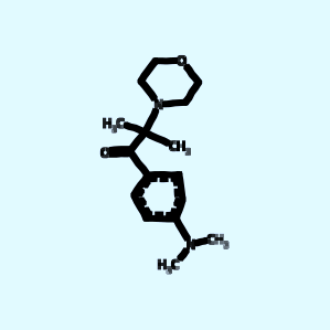 CN(C)c1ccc(C(=O)C(C)(C)N2CCOCC2)cc1